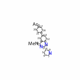 CNc1nc(-c2cccnc2)nc2ccc(-c3ccc(C(C)=O)cc3)cc12